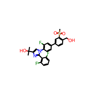 CC(C)(O)c1cn(-c2ccc(-c3ccc(CO)c(S(C)(=O)=O)c3)cc2F)c(-c2c(F)cccc2F)n1